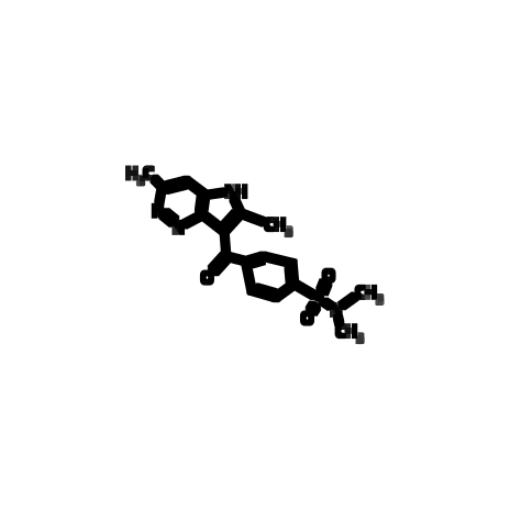 Cc1cc2[nH]c(C)c(C(=O)c3ccc(S(=O)(=O)N(C)C)cc3)c2nn1